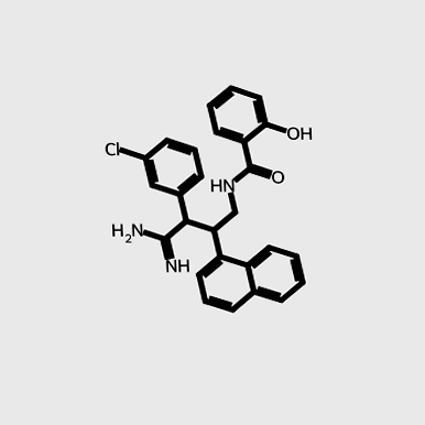 N=C(N)C(c1cccc(Cl)c1)C(CNC(=O)c1ccccc1O)c1cccc2ccccc12